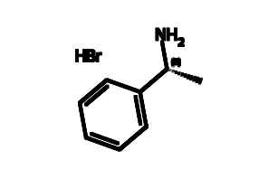 Br.C[C@@H](N)c1ccccc1